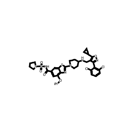 CC(C)Oc1cc(C(=O)NS(=O)(=O)N2CCCC2)cc2sc(N3CCC(NCc4c(-c5c(Cl)cccc5Cl)noc4C4CC4)CC3)nc12